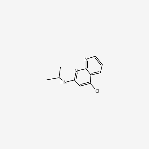 CC(C)Nc1cc(Cl)c2cccnc2n1